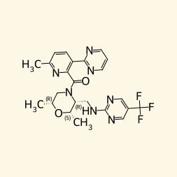 Cc1ccc(-c2ncccn2)c(C(=O)N2C[C@@H](C)O[C@@H](C)[C@H]2CNc2ncc(C(F)(F)F)cn2)n1